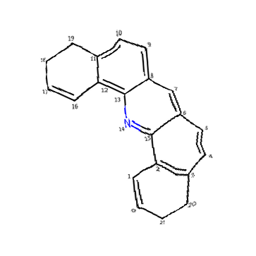 C1=Cc2c(ccc3cc4ccc5c(c4nc23)C=CCC5)CC1